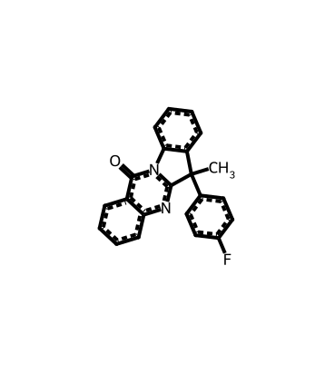 CC1(c2ccc(F)cc2)c2ccccc2-n2c1nc1ccccc1c2=O